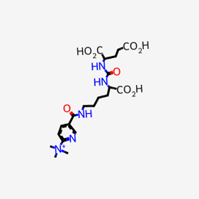 C[N+](C)(C)c1ccc(C(=O)NCCCCC(NC(=O)NC(CCC(=O)O)C(=O)O)C(=O)O)cn1